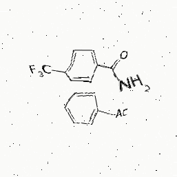 CC(=O)c1ccccc1.NC(=O)c1ccc(C(F)(F)F)cc1